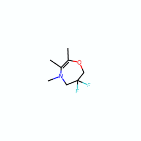 CC1=C(C)N(C)CC(F)(F)CO1